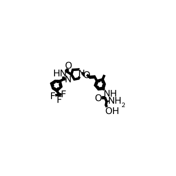 Cc1cc(NC(=O)[C@@H](N)CO)ccc1/C=C/ON1CCC2(CC1)N=C(c1cccc(C(F)(F)F)c1)NC2=O